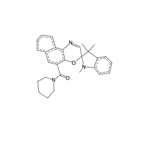 CN1c2ccccc2C(C)(C)C12C=Nc1c(c(C(=O)N3CCCCC3)cc3ccccc13)O2